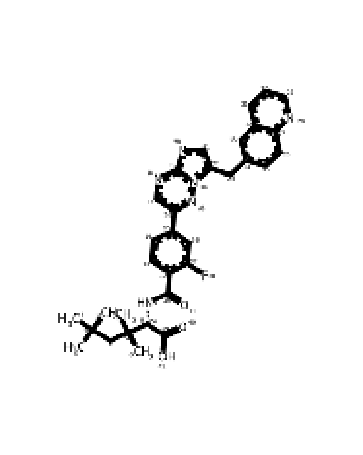 CC(C)(C)CC(C)(C)[C@H](NC(=O)c1ccc(-c2cnc3ncc(Cc4ccc5ncccc5c4)n3n2)cc1F)C(=O)O